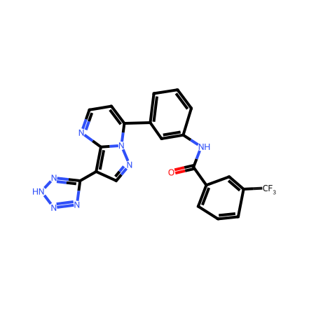 O=C(Nc1cccc(-c2ccnc3c(-c4nn[nH]n4)cnn23)c1)c1cccc(C(F)(F)F)c1